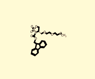 COCCOCCOC[C@H]1COS(=O)(=O)N1C(=O)OCC1c2ccccc2-c2ccccc21